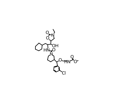 CCN1CC(C(O)C(CC2CCCCC2)NC(=O)N2CCCC(C(OCCNC(=O)OC)c3cccc(Cl)c3)C2)OC1=O